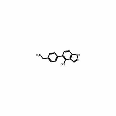 NCc1ccc(-c2ccc3[nH]ncc3c2N=O)cc1